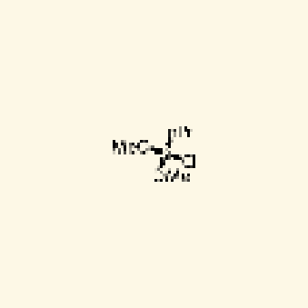 CCC[Si](Cl)(OC)OC